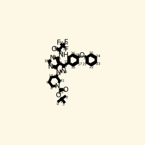 CC(C)(C)OC(=O)N1CCCC(n2nc(-c3ccc(Oc4ccccc4)cc3)c3c(NC(=O)C(F)(F)F)ncnc32)C1